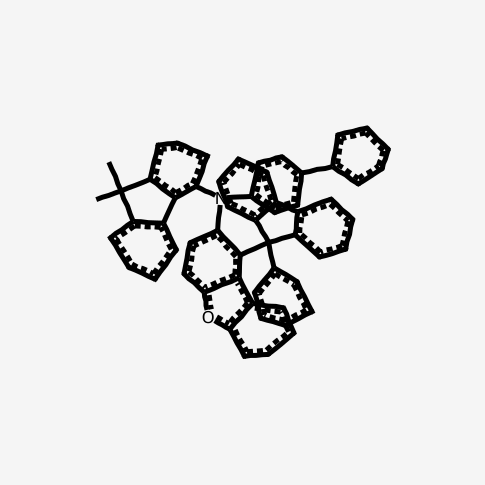 CC1(C)c2ccccc2-c2c(N(c3ccc(-c4ccccc4)cc3)c3ccc4oc5ccccc5c4c3C3(c4ccccc4)c4ccccc4-c4ccccc43)cccc21